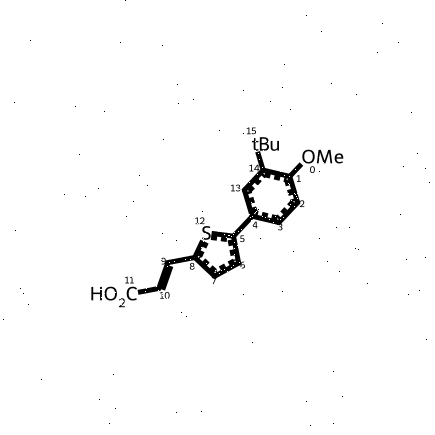 COc1ccc(-c2ccc(/C=C/C(=O)O)s2)cc1C(C)(C)C